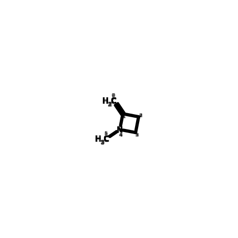 C=C1CCN1C